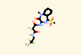 C[C@@H](C(=O)NCC(F)(F)C(F)(F)F)C(=O)NC1NC(S(C)(=O)=O)c2ccccc2N(C)C1=O